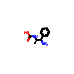 C[C@@H](NC(=O)O)C(N)c1ccccc1